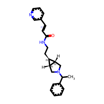 CC(c1ccccc1)N1C[C@@H]2[C@@H](CCNC(=O)/C=C/c3cccnc3)[C@@H]2C1